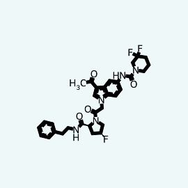 CC(=O)c1cn(CC(=O)N2C[C@H](F)C[C@H]2C(=O)NCCc2ccccc2)c2ccc(NC(=O)N3CCCC(F)(F)C3)cc12